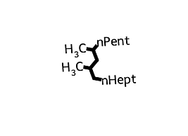 CCCCCCCCC(C)CC(C)CCCCC